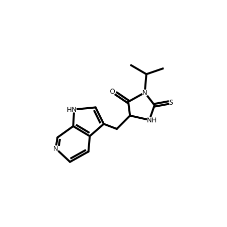 CC(C)N1C(=O)C(Cc2c[nH]c3cnccc23)NC1=S